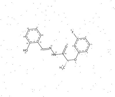 C[C@@H](Oc1cccc(F)c1)C(=O)NN=Cc1ccccc1O